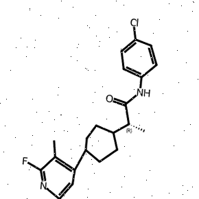 Cc1c(C2CCC([C@@H](C)C(=O)Nc3ccc(Cl)cc3)CC2)ccnc1F